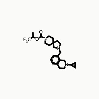 CC(OC(=O)N1CCC2(CCN(Cc3cccc4c3CN(C3CC3)CC4)C2)CC1)C(F)(F)F